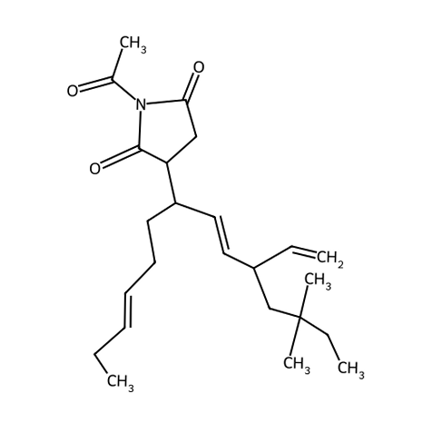 C=CC(/C=C/C(CC/C=C/CC)C1CC(=O)N(C(C)=O)C1=O)CC(C)(C)CC